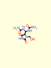 NC(=O)NC(NC(N)=O)C1C(=O)NC(=O)N1CO